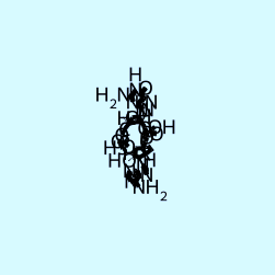 Nc1nc2c(nnn2[C@@H]2O[C@@H]3CO[P@@](=O)(S)O[C@H]4[C@@H](O)[C@H](n5cnc6c(N)ncnc65)[C@H]5CC[C@]54COP(=O)(O)O[C@@H]2C3)c(=O)[nH]1